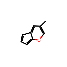 Cc1coc2[c]ccc-2c1